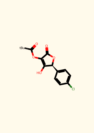 CC(C)(C)C(=O)OC1=C(O)[C@H](c2ccc(Cl)cc2)OC1=O